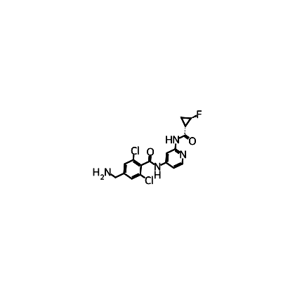 NCc1cc(Cl)c(C(=O)Nc2ccnc(NC(=O)[C@@H]3C[C@H]3F)c2)c(Cl)c1